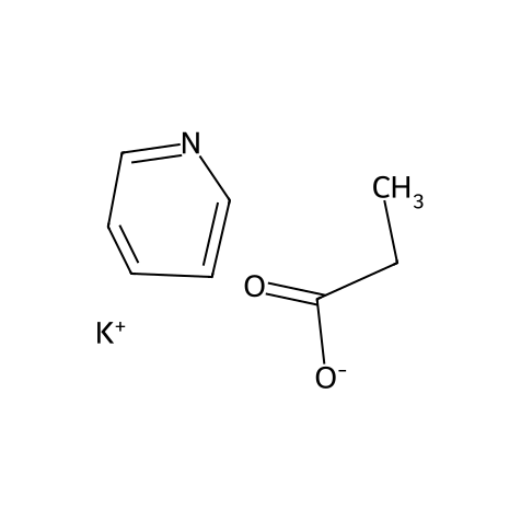 CCC(=O)[O-].[K+].c1ccncc1